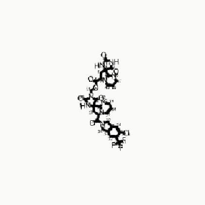 O=C1NC(=O)C(CCC(=O)OCN2C(=O)NC(CCC(=O)N3Cc4cc(Cl)c(C(F)(F)F)cc4C3)(c3ncccn3)C2=O)(c2ncccn2)N1